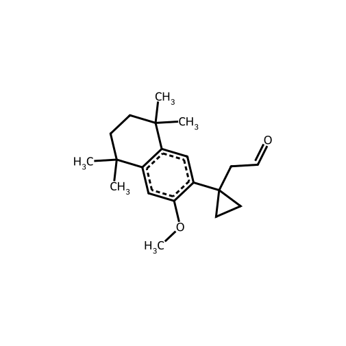 COc1cc2c(cc1C1(CC=O)CC1)C(C)(C)CCC2(C)C